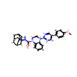 COc1ccc(-c2cnc(N3CCN(C(=O)NC45CC6CC(CC(C6)C4)C5)c4ccccc43)nc2)cc1